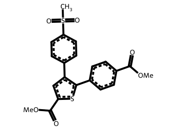 COC(=O)c1ccc(-c2sc(C(=O)OC)cc2-c2ccc(S(C)(=O)=O)cc2)cc1